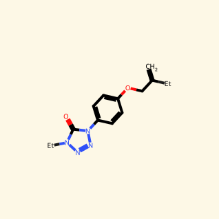 C=C(CC)COc1ccc(-n2nnn(CC)c2=O)cc1